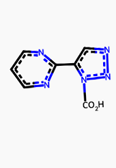 O=C(O)n1nncc1-c1ncccn1